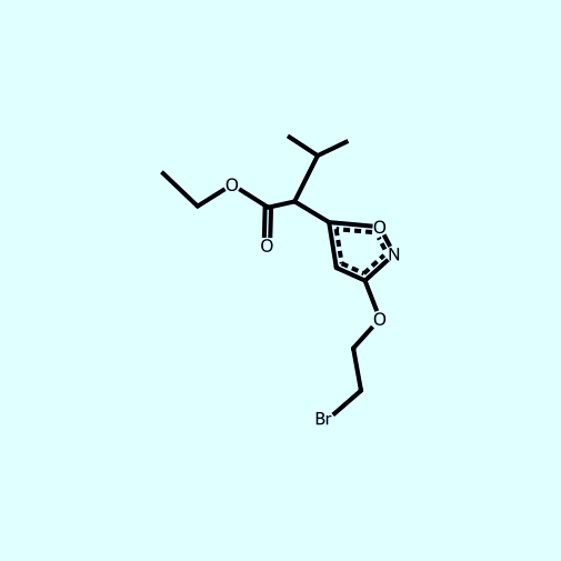 CCOC(=O)C(c1cc(OCCBr)no1)C(C)C